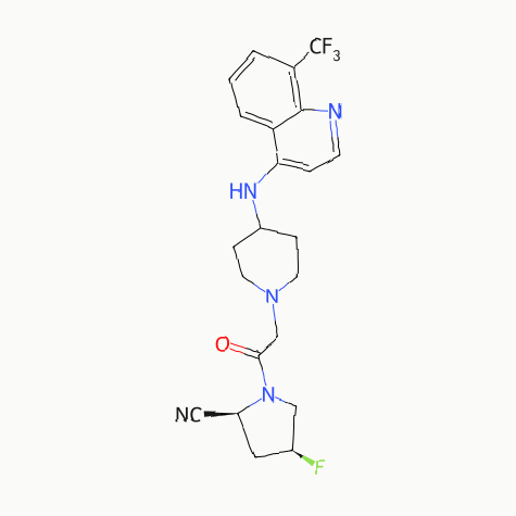 N#C[C@@H]1C[C@H](F)CN1C(=O)CN1CCC(Nc2ccnc3c(C(F)(F)F)cccc23)CC1